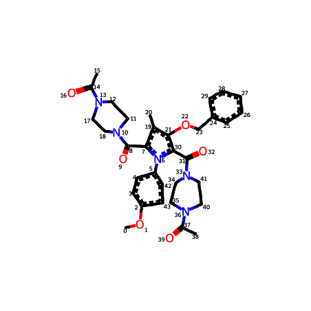 COc1ccc(-n2c(C(=O)N3CCN(C(C)=O)CC3)c(C)c(OCc3ccccc3)c2C(=O)N2CCN(C(C)=O)CC2)cc1